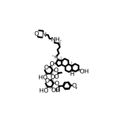 COc1ccc(C(=O)O[C@H]2[C@H](O[C@@H]3[C@@H](OC(C)=O)[C@H](O[C@H]4CC5C6CC[C@H]7C[C@@H](O)CC[C@]7(C)C6CC[C@]5(C)[C@H]4[C@H](C)CCC[C@@H](C)CNCCN4CCOCC4)OC[C@@H]3O)OC[C@@H](O)[C@@H]2O)cc1